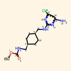 CC(C)(C)OC(=O)NC[C@H]1CC[C@@H](CNc2nc(N)cc(Cl)n2)CC1